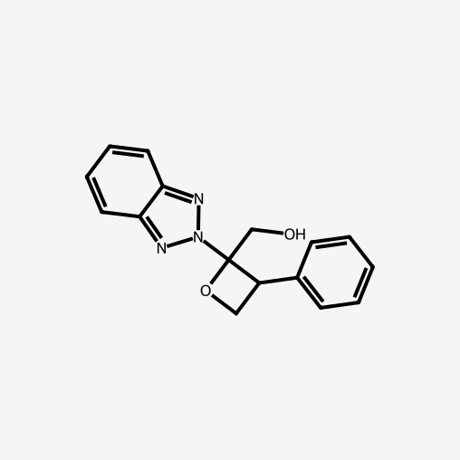 OCC1(n2nc3ccccc3n2)OCC1c1ccccc1